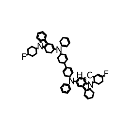 CC1C=C(F)CCC1n1c2c(c3cc(N(c4ccccc4)C4C=CC(C5C=CC(N(C6=CC=CCC6)C6=Cc7c(n(C8CCC(F)CC8)c8ccccc78)CC6)CC5)=CC4)ccc31)C=CCC2